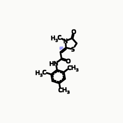 Cc1cc(C)c(NC(=O)/C=C2\SCC(=O)N2C)c(C)c1